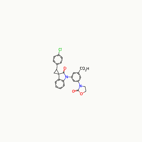 O=C(O)c1cc(N2CCOC2=O)cc(N2C(=O)C3(CC3c3ccc(Cl)cc3)c3ccccc32)c1